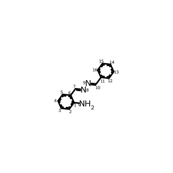 Nc1ccccc1C=NN=Cc1ccccc1